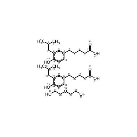 CC(C)Cc1cc(CCCCC(=O)O)ccc1O.CC(C)Cc1cc(CCCCC(=O)O)ccc1O.OCCOCCO